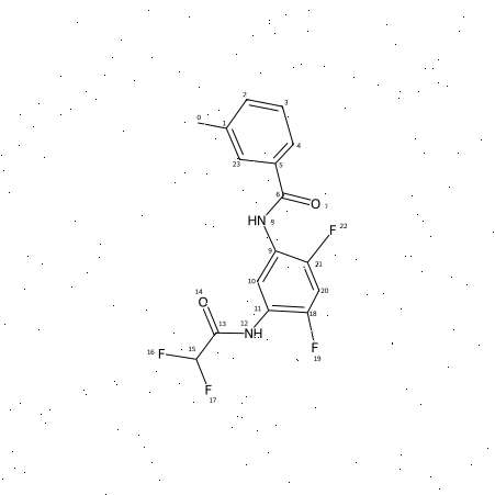 Cc1cccc(C(=O)Nc2cc(NC(=O)C(F)F)c(F)cc2F)c1